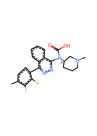 Cc1ccc(-c2nnc(N(C(=O)O)[C@@H]3CCCN(C)C3)c3ccccc23)c(F)c1F